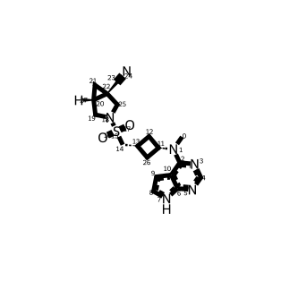 CN(c1ncnc2[nH]ccc12)[C@H]1C[C@@H](CS(=O)(=O)N2C[C@@H]3C[C@]3(C#N)C2)C1